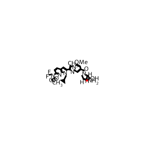 COc1cc(C(=O)N2C[C@H]3C[C@H](O)[C@@H]2[C@@H]3N)cc2nc(-c3cc4ccc(N(C(F)F)S(C)(=O)=O)nc4n3CC3CC3)c(C)n12